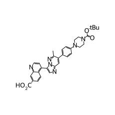 Cc1nn2c(-c3ccnc4cc(C(=O)O)ccc34)cnc2cc1-c1ccc(N2CCN(C(=O)OC(C)(C)C)CC2)cc1